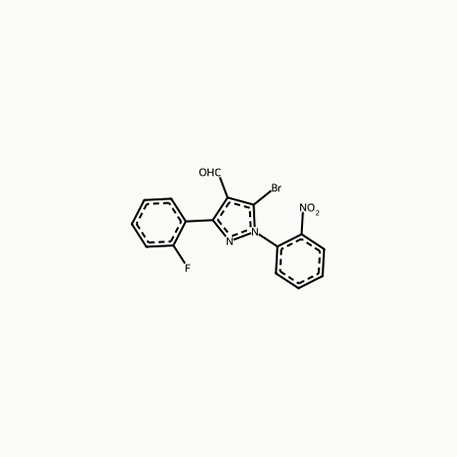 O=Cc1c(-c2ccccc2F)nn(-c2ccccc2[N+](=O)[O-])c1Br